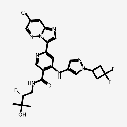 CC(C)(O)[C@H](F)CNC(=O)c1cnc(-c2cnc3cc(Cl)cnn23)cc1Nc1cnn(C2CC(F)(F)C2)c1